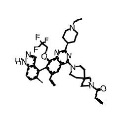 C=CC(=O)N1CC2(CCN(c3nc(C4CCN(CC)CC4)nc4c(OCC(F)(F)F)c(-c5c(C)ccc6[nH]ncc56)c(C=C)cc34)CC2)C1